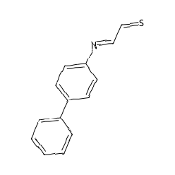 S=CC=Nc1ccc(-c2ccccc2)cc1